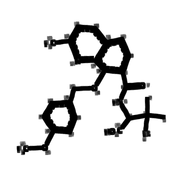 CCC(C)(C)C(NC(=O)c1ccc2ccc(C(F)(F)F)nc2c1OCc1ccc(OC(F)(F)F)cc1)C(=O)O